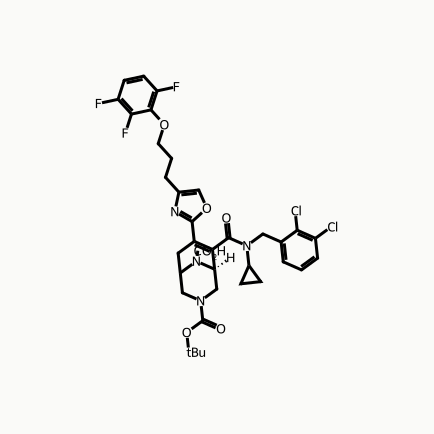 CC(C)(C)OC(=O)N1CC2CC(c3nc(CCCOc4c(F)ccc(F)c4F)co3)=C(C(=O)N(Cc3cccc(Cl)c3Cl)C3CC3)[C@@H](C1)N2C(=O)O